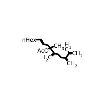 C=C(C)C(=C)CCC(=C)C(C)(CC=CCCCCCC)OC(C)=O